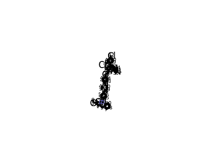 COC1CN(Cc2ccccc2)/C(=N/c2ccc(N3CCN(c4ccc(OCC5COC(Cn6cncn6)(c6ccc(Cl)cc6Cl)O5)cc4)CC3)cc2)S1